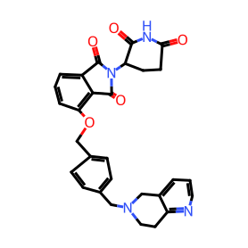 O=C1CCC(N2C(=O)c3cccc(OCc4ccc(CN5CCc6ncccc6C5)cc4)c3C2=O)C(=O)N1